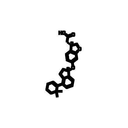 CC1(C)CCCC=C1c1cccc2c1CC[C@H]2Oc1ccc2c(c1)OC[C@H]2CC(=O)O